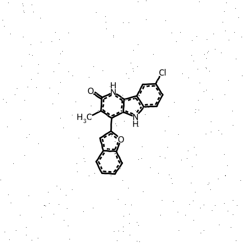 Cc1c(-c2cc3ccccc3o2)c2[nH]c3ccc(Cl)cc3c2[nH]c1=O